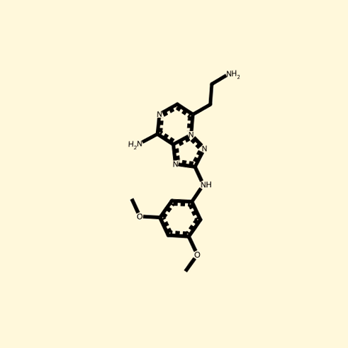 COc1cc(Nc2nc3c(N)ncc(CCN)n3n2)cc(OC)c1